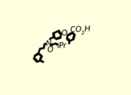 Cc1cccc(CCCN(Cc2ccc(Oc3cc(C)ccc3C(=O)O)cc2)C(=O)CC(C)C)c1